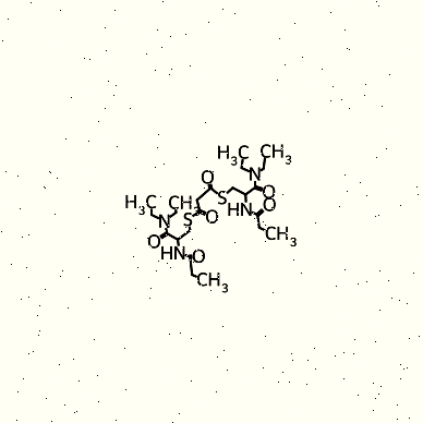 CCC(=O)NC(CSC(=O)CC(=O)SCC(NC(=O)CC)C(=O)N(CC)CC)C(=O)N(CC)CC